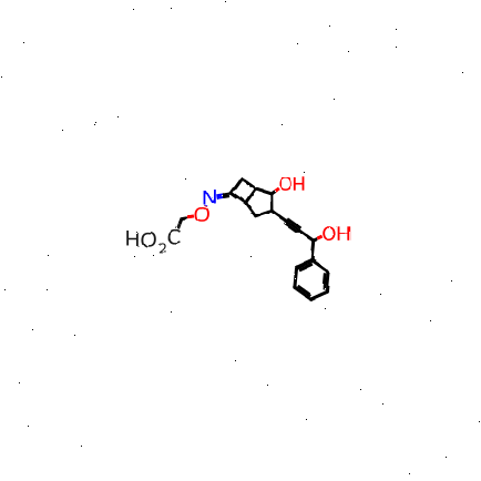 O=C(O)CO/N=C1/CC2C1CC(C#CC(O)c1ccccc1)C2O